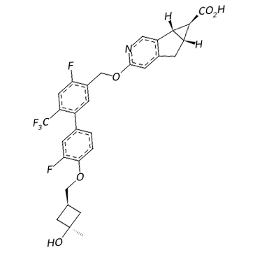 C[C@]1(O)C[C@@H](COc2ccc(-c3cc(COc4cc5c(cn4)[C@H]4[C@@H](C5)[C@@H]4C(=O)O)c(F)cc3C(F)(F)F)cc2F)C1